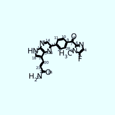 Cn1c(F)cnc1C(=O)c1ccc(-c2cnc3[nH]cc(C=CC(N)=O)c3n2)cc1